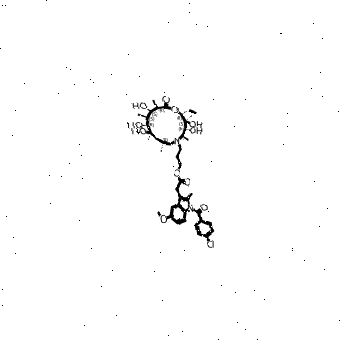 CC[C@H]1OC(=O)[C@H](C)[C@@H](O)[C@H](C)[C@@H](O)[C@](C)(O)C[C@@H](C)CN(CCCOC(=O)Cc2c(C)n(C(=O)c3ccc(Cl)cc3)c3ccc(OC)cc23)[C@H](C)[C@@H](O)[C@]1(C)O